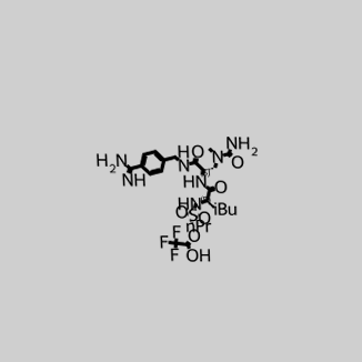 CCCS(=O)(=O)N[C@@H](C(=O)N[C@@H](CN(C)C(N)=O)C(=O)NCc1ccc(C(=N)N)cc1)C(C)CC.O=C(O)C(F)(F)F